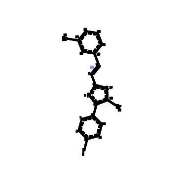 Fc1ccc(-c2nc(/C=C/c3cccc(Br)c3)sc2Br)cc1